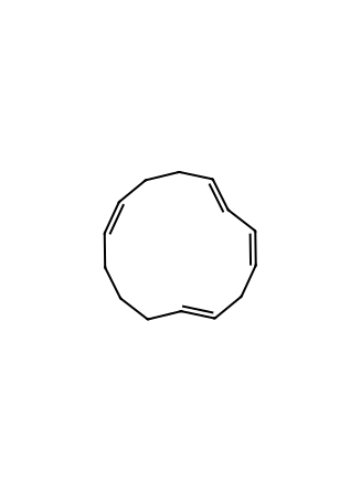 C1=C\C/C=C/CCC/C=C\CC/C=C/1